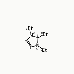 CCC1N(CC)C=CN1CC